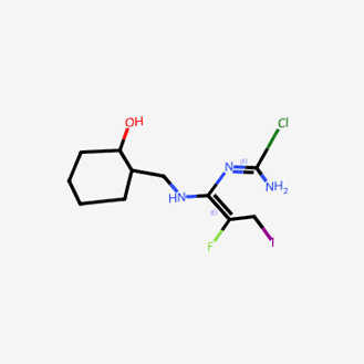 N/C(Cl)=N\C(NCC1CCCCC1O)=C(\F)CI